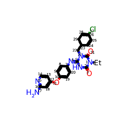 CCn1c(=O)[nH]/c(=N\c2ccc(Oc3ccnc(N)c3)cc2)n(CC2C=CC(Cl)=CC2)c1=O